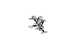 C[C@@H](O)[C@H](NC(=O)[C@H](Cc1c[nH]cn1)NC(=O)[C@H](CCCCN)NC(=O)[C@H](CCCNC(=N)N)NC(=O)[C@@H](N)CO)C(=O)NCC(=O)O